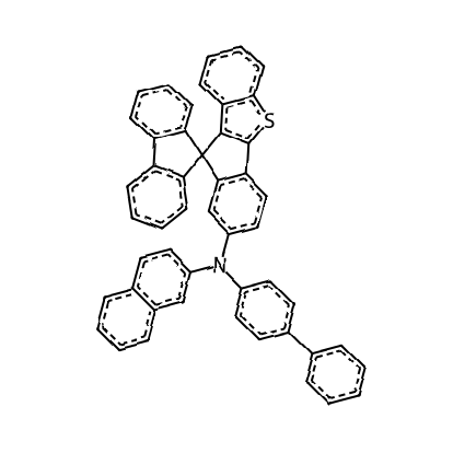 c1ccc(-c2ccc(N(c3ccc4c(c3)C3(c5ccccc5-c5ccccc53)c3c-4sc4ccccc34)c3ccc4ccccc4c3)cc2)cc1